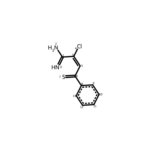 N=C(N)/C(Cl)=C\C(=S)c1ccccc1